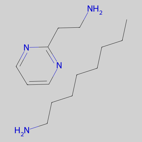 CCCCCCCCN.NCCc1ncccn1